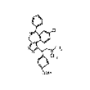 COc1ccc(C(CN(C)C)c2nnc3n2-c2ccc(Cl)cc2C(c2ccccc2)=NC3)cc1